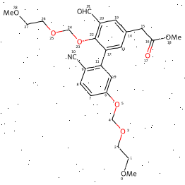 COCCOCOc1ccc(C#N)c(-c2cc(CC(=O)OC)cc(C=O)c2OCOCCOC)c1